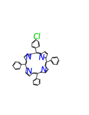 Clc1ccc(C2=C3C=CC(=N3)C(c3ccccc3)=C3C=CC(=N3)C(c3ccccc3)=C3C=CC(=N3)C(c3ccccc3)=C3C=CC2=N3)cc1